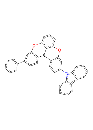 c1ccc(-c2ccc3c(c2)Oc2cccc4c2B3c2ccc(-n3c5ccccc5c5ccccc53)cc2O4)cc1